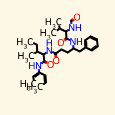 C/C=C\C(=C/C)NC(=O)C(NC(=O)CCC(Cc1ccccc1)NC(=O)C(NC=O)C(C)C)C(C)CC